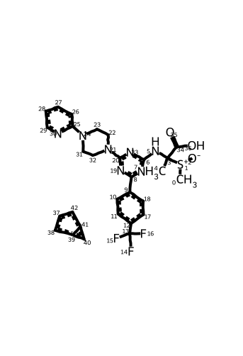 C[S+]([O-])C(C)(Nc1nc(-c2ccc(C(F)(F)F)cc2)nc(N2CCN(c3ccccn3)CC2)n1)C(=O)O.c1cc2cc-2c1